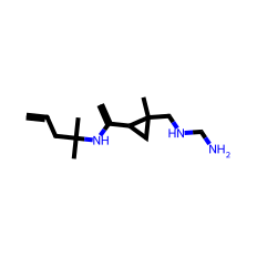 C=CCC(C)(C)NC(=C)C1CC1(C)CNCN